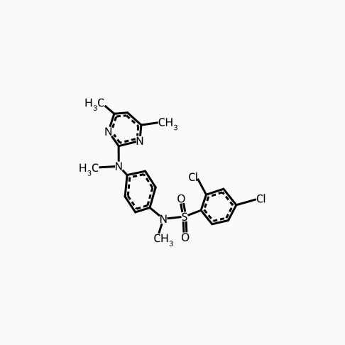 Cc1cc(C)nc(N(C)c2ccc(N(C)S(=O)(=O)c3ccc(Cl)cc3Cl)cc2)n1